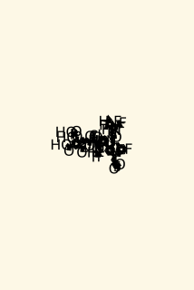 CC(C)(CC(=O)N(c1nn(CC(F)(F)F)c2c(-c3ccc(CCC(C)(C)S(C)(=O)=O)nc3[C@H](Cc3cc(F)cc(F)c3)NC(=O)Cn3nc(C(F)(F)F)c4c3C(F)(F)[C@@H]3CC43)ccc(Cl)c12)S(C)(=O)=O)c1c(OP(=O)(O)O)cc(C(=O)O)cc1C(=O)O